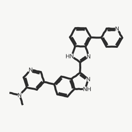 CN(C)c1cncc(-c2ccc3[nH]nc(-c4nc5c(-c6cccnc6)cccc5[nH]4)c3c2)c1